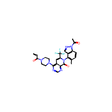 C=CC(=O)N1CCN(c2ncnc3c(=O)n(-c4c(C)ccc5c4cnn5C(C)=O)c(C(F)(F)F)cc23)CC1